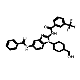 O=C(Nc1ccc2c(c1)nc(NC(=O)c1cccc(C(F)(F)F)c1)n2C1CCC(CO)CC1)c1ccccc1